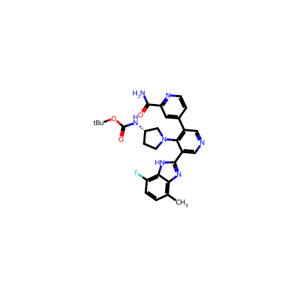 Cc1ccc(F)c2[nH]c(-c3cncc(-c4ccnc(C(N)=O)c4)c3N3CC[C@H](NC(=O)OC(C)(C)C)C3)nc12